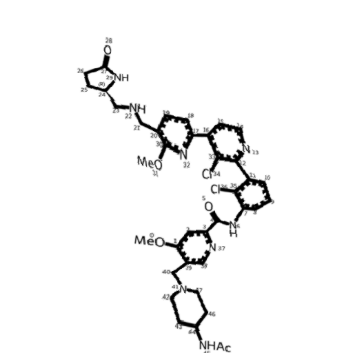 COc1cc(C(=O)Nc2cccc(-c3nccc(-c4ccc(CNC[C@H]5CCC(=O)N5)c(OC)n4)c3Cl)c2Cl)ncc1CN1CCC(NC(C)=O)CC1